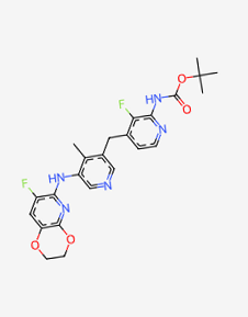 Cc1c(Cc2ccnc(NC(=O)OC(C)(C)C)c2F)cncc1Nc1nc2c(cc1F)OCCO2